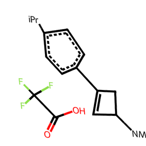 CNC1C=C(c2ccc(C(C)C)cc2)C1.O=C(O)C(F)(F)F